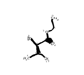 CCOC(=O)C(Br)=C(C)C